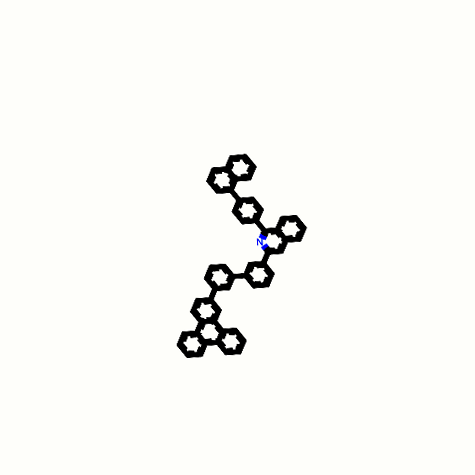 c1cc(-c2cccc(-c3cc4ccccc4c(-c4ccc(-c5cccc6ccccc56)cc4)n3)c2)cc(-c2ccc3c4ccccc4c4ccccc4c3c2)c1